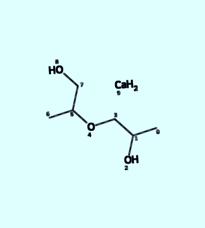 CC(O)COC(C)CO.[CaH2]